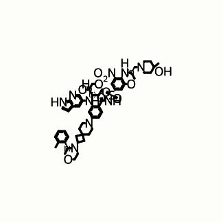 Cc1ccccc1[C@@H]1COCCN1C1CC2(CCN(c3ccc(C(=O)NS(=O)(=O)c4cc5c(c([N+](=O)[O-])c4)N[C@@H](CN4CCC(C)(O)CC4)CO5)c(N4c5cc6cc[nH]c6nc5O[C@H]5COCC[C@@H]54)c3)CC2)C1